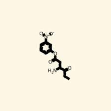 CCC(=O)C(N)CC(=O)Oc1cccc([N+](=O)[O-])c1